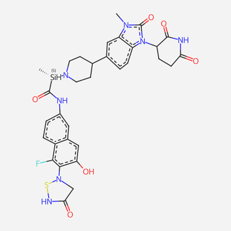 Cn1c(=O)n(C2CCC(=O)NC2=O)c2ccc(C3CCN([Si@@H](C)C(=O)Nc4ccc5c(F)c(N6CC(=O)NS6)c(O)cc5c4)CC3)cc21